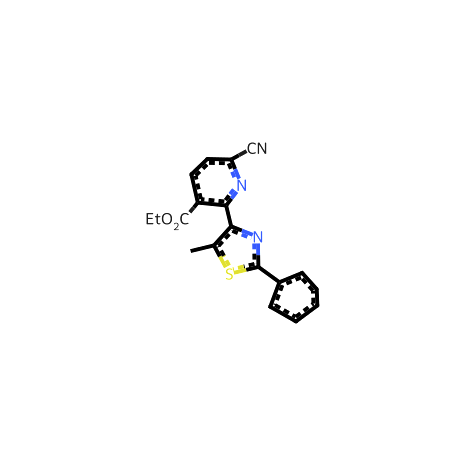 CCOC(=O)c1ccc(C#N)nc1-c1nc(-c2ccccc2)sc1C